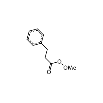 COOC(=O)CCc1ccccc1